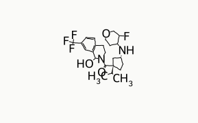 CC(C)[C@]1(C(=O)N2CCc3ccc(C(F)(F)F)cc3C2O)CC[C@@H](NC2CCOCC2F)C1